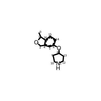 CC1OCc2cc(OC3CCNCC3)ccc21